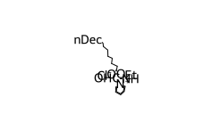 CCCCCCCCCCCCCCCCCC(=O)OC(C=O)(NCC)[n+]1ccccc1.[Cl-]